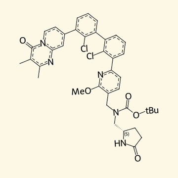 COc1nc(-c2cccc(-c3cccc(-c4ccn5c(=O)c(C)c(C)nc5c4)c3Cl)c2Cl)ccc1CN(C[C@@H]1CCC(=O)N1)C(=O)OC(C)(C)C